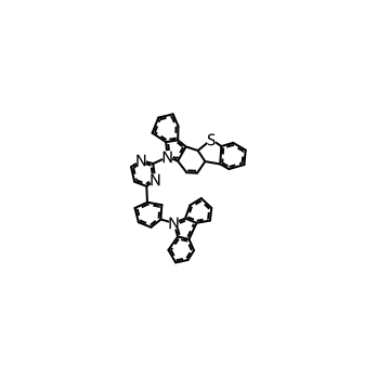 C1=CC2c3ccccc3SC2c2c1n(-c1nccc(-c3cccc(-n4c5ccccc5c5ccccc54)c3)n1)c1ccccc21